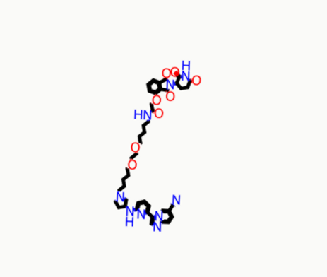 N#Cc1ccc2ncc(-c3cccc(NC4CCN(CCCCCOCCOCCCCCNC(=O)COc5cccc6c5C(=O)N(C5CCC(=O)NC5=O)C6=O)C4)n3)n2c1